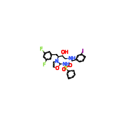 O=S(=O)(NC1OC=CN1[C@@H](Cc1cc(F)cc(F)c1)[C@H](O)CNCc1cccc(I)c1)c1ccccc1